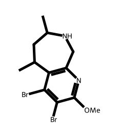 COc1nc2c(c(Br)c1Br)C(C)CC(C)NC2